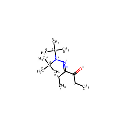 CCC(=O)/C(CC)=N/N([Si](C)(C)C)[Si](C)(C)C